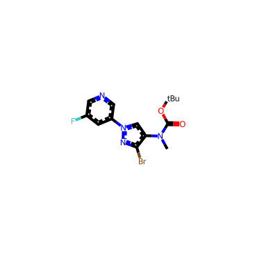 CN(C(=O)OC(C)(C)C)c1cn(-c2cncc(F)c2)nc1Br